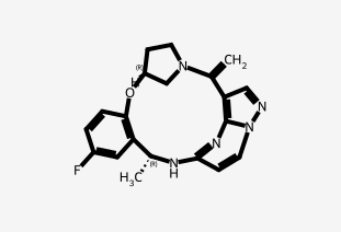 C=C1c2cnn3ccc(nc23)N[C@H](C)c2cc(F)ccc2O[C@@H]2CCN1C2